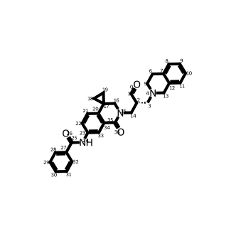 O=C[C@H](CN1CCc2ccccc2C1)CN1CC2(CC2)c2ccc(NC(=O)c3ccccc3)cc2C1=O